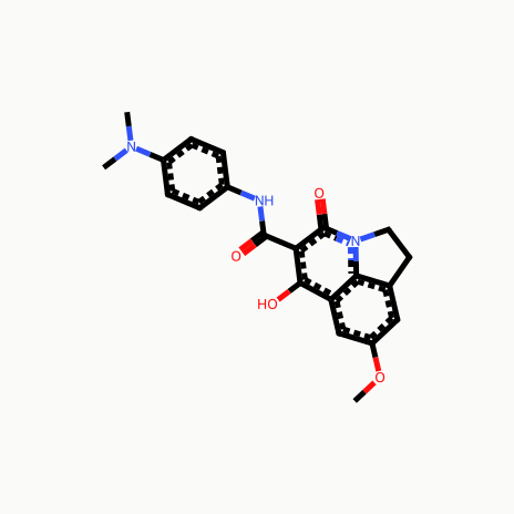 COc1cc2c3c(c1)c(O)c(C(=O)Nc1ccc(N(C)C)cc1)c(=O)n3CC2